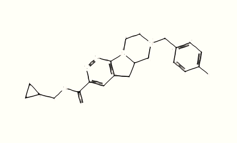 O=C(NCC1CC1)c1cc2c(nn1)N1CCN(Cc3ccc(F)cc3)CC1C2